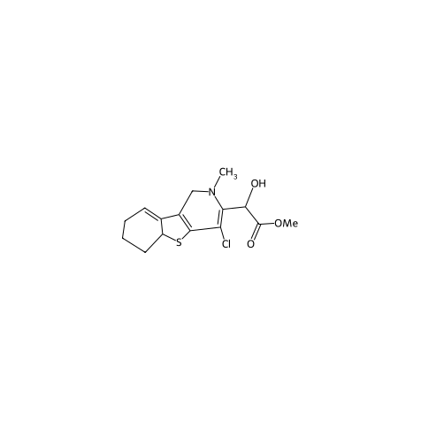 COC(=O)C(O)C1=C(Cl)C2=C(CN1C)C1=CCCCC1S2